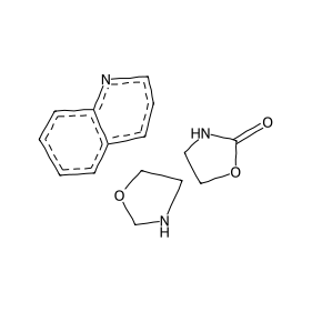 C1COCN1.O=C1NCCO1.c1ccc2ncccc2c1